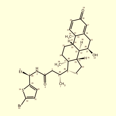 CC[C@@H](NC(=O)C[C@@H](C)[C@H]1CC[C@H]2[C@@H]3[C@H](O)CC4=CC(=O)C=C[C@]4(C)[C@H]3CC[C@]12C)c1ccc(Br)s1